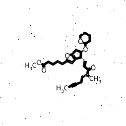 CC#CCCC(C)C(=O)C=C[C@@H]1c2cc(CCCCC(=O)OC)oc2C[C@H]1OC1CCCCO1